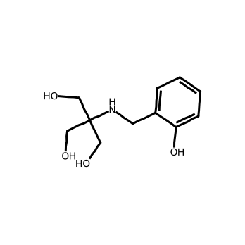 OCC(CO)(CO)NCc1ccccc1O